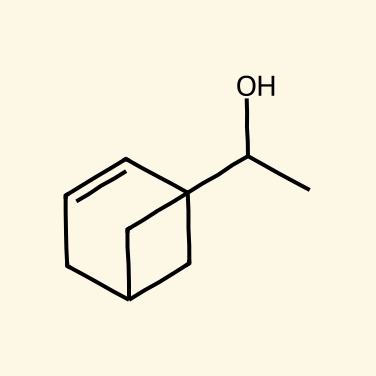 CC(O)C12C=CCC(C1)C2